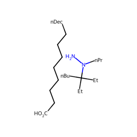 CCCCC(CC)(CC)N(N)CCC.CCCCCCCCCCCCCCCCCC(=O)O